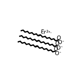 CCCCCCCCC=CCCCCCCCC(=O)[O-].CCCCCCCCC=CCCCCCCCC(=O)[O-].CCCCCCCCC=CCCCCCCCC(=O)[O-].[Er+3]